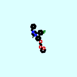 C[C@@H]1CN(Cc2ccccc2)C[C@@H](c2ccc(F)cc2)N1c1ccc(OCCOC2CCCCO2)cc1